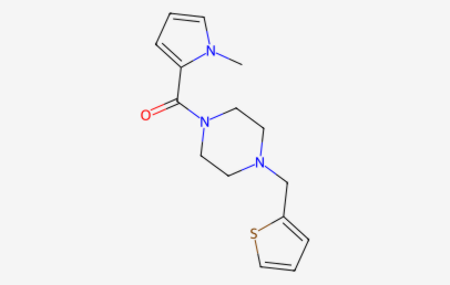 Cn1cccc1C(=O)N1CCN(Cc2cccs2)CC1